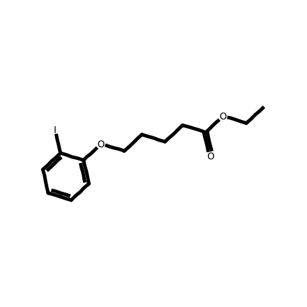 CCOC(=O)CCCCOc1ccccc1I